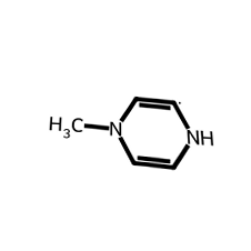 CN1C=[C]NC=C1